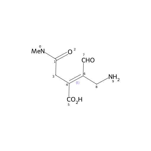 CNC(=O)C/C(C(=O)O)=C(\C=O)CN